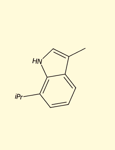 Cc1c[nH]c2c(C(C)C)cccc12